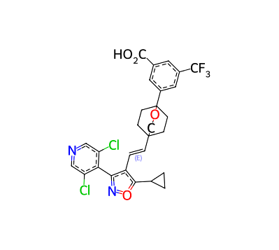 O=C(O)c1cc(C(F)(F)F)cc(C23CCC(/C=C/c4c(-c5c(Cl)cncc5Cl)noc4C4CC4)(CC2)CO3)c1